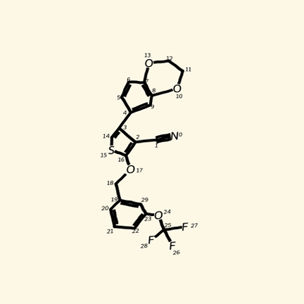 N#Cc1c(-c2ccc3c(c2)OCCO3)csc1OCc1cccc(OC(F)(F)F)c1